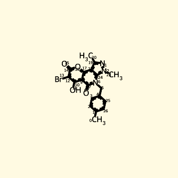 Cc1ccc(Cn2c(=O)c3c(O)c(Br)c(=O)oc3c3c(C)nn(C)c32)cc1